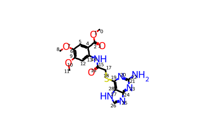 COC(=O)c1cc(OC)c(OC)cc1NC(=O)CSc1nc(N)nc2nc[nH]c12